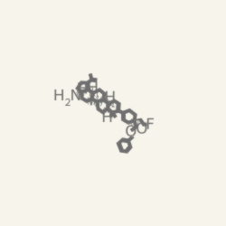 C=C(C)C1CC[C@]2(N)CC[C@]3(C)[C@H](CC[C@@H]4[C@@]5(C)CC=C(C6=CC[C@@](CCF)(C(=O)OCc7ccccc7)CC6)C(C)(C)[C@@H]5CC[C@]43C)[C@@H]12